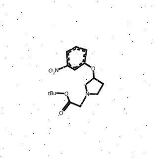 CC(C)(C)OC(=O)CN1CCC(Oc2cccc([N+](=O)[O-])c2)C1